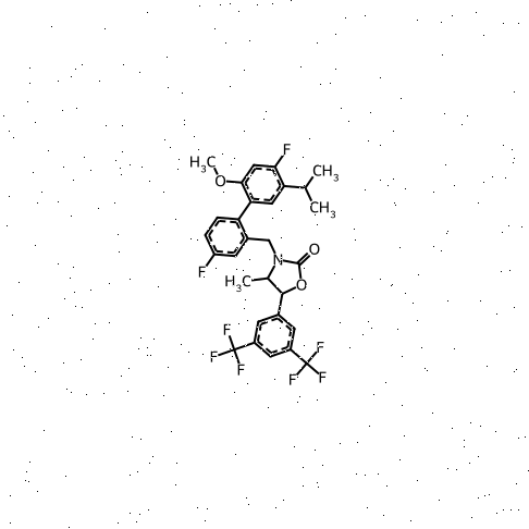 COc1cc(F)c(C(C)C)cc1-c1ccc(F)cc1CN1C(=O)OC(c2cc(C(F)(F)F)cc(C(F)(F)F)c2)C1C